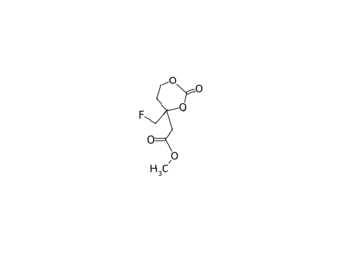 COC(=O)CC1(CF)CCOC(=O)O1